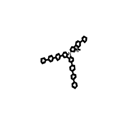 C[Si]1(C)c2cc(-c3ccccc3)ccc2-c2ccc(-n3c4ccc(-c5ccc(-c6ccc(-c7ccccc7)cc6)cc5)cc4c4cc(-c5ccc(-c6ccc(-c7ccccc7)cc6)cc5)ccc43)cc21